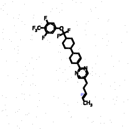 C/C=C/CCc1cnc(C2=CCC(C3CCC(C(F)(F)Oc4cc(F)c(C(F)(F)F)c(F)c4)CC3)CC2)nc1